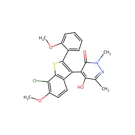 COc1ccccc1-c1sc2c(Cl)c(OC)ccc2c1-c1c(O)c(C)nn(C)c1=O